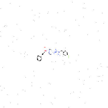 O=C(C#Cc1ccccc1)N1CCN(c2nc(Cc3ccc(F)cc3)ns2)CC1